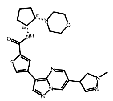 CN1CC(c2cnc3c(-c4csc(C(=O)N[C@@H]5CCC[C@@H]5N5CCOCC5)c4)cnn3c2)C=N1